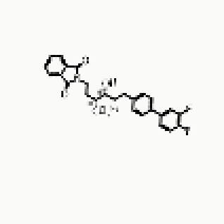 O=C(O)[C@H](CCN1C(=O)c2ccccc2C1=O)[C@@H](O)CCc1ccc(-c2ccc(F)c(F)c2)cc1